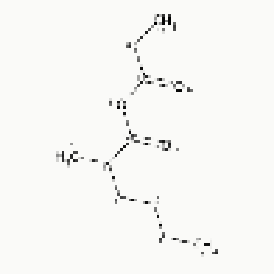 CCCCC(C)C(=O)OC(=O)CC